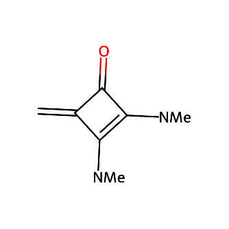 C=C1C(=O)C(NC)=C1NC